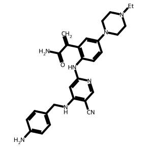 C=C(C(N)=O)c1cc(N2CCN(CC)CC2)ccc1Nc1cc(NCc2ccc(N)cc2)c(C#N)cn1